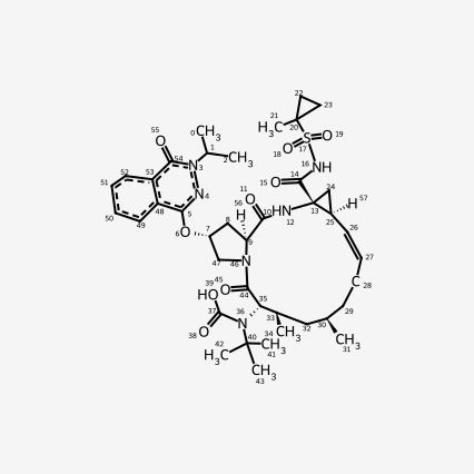 CC(C)n1nc(O[C@@H]2C[C@H]3C(=O)N[C@]4(C(=O)NS(=O)(=O)C5(C)CC5)C[C@H]4C=CCC[C@@H](C)C[C@@H](C)[C@H](N(C(=O)O)C(C)(C)C)C(=O)N3C2)c2ccccc2c1=O